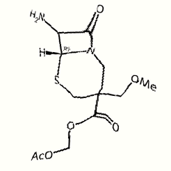 COCC1(C(=O)OCOC(C)=O)CS[C@@H]2C(N)C(=O)N2C1